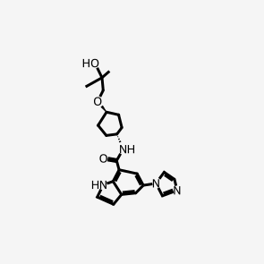 CC(C)(O)CO[C@H]1CC[C@H](NC(=O)c2cc(-n3ccnc3)cc3cc[nH]c23)CC1